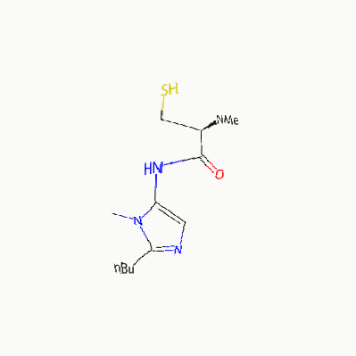 CCCCc1ncc(NC(=O)[C@@H](CS)NC)n1C